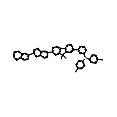 Cc1ccc(N(c2ccc(C)cc2)c2cccc(-c3ccc4c(c3)C(C)(C)c3cc(-c5ccc6cc(-c7ccc8ccccc8c7)ccc6c5)ccc3-4)c2)cc1